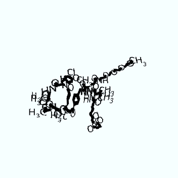 COCCOCCOCCOCCNC(=O)CC[C@H](NC(=O)[C@@H](NC(=O)CCCC(=O)CN1C(=O)CCC1=O)C(C)C)C(=O)NCc1ccc([C@H]2O[C@@H]2[C@@H](C)[C@@H]2C/C=C/C(=O)N[C@H](Cc3ccc(OC)c(Cl)c3)C(=O)NCC(C)(C)C(=O)O[C@@H](CC(C)C)C(=O)O2)cc1